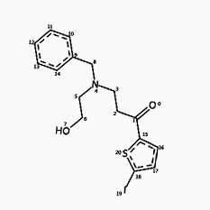 O=C(CCN(CCO)Cc1ccccc1)c1ccc(I)s1